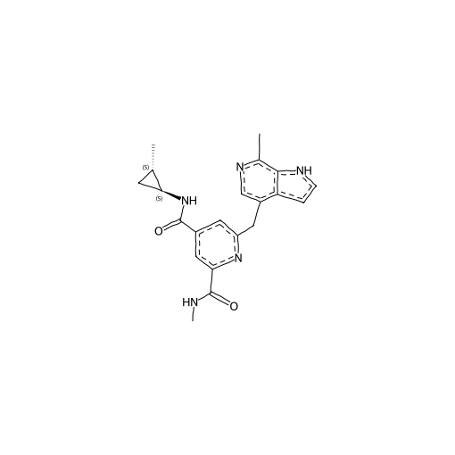 CNC(=O)c1cc(C(=O)N[C@H]2C[C@@H]2C)cc(Cc2cnc(C)c3[nH]ccc23)n1